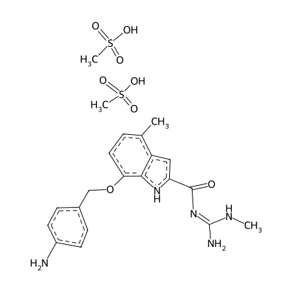 CNC(N)=NC(=O)c1cc2c(C)ccc(OCc3ccc(N)cc3)c2[nH]1.CS(=O)(=O)O.CS(=O)(=O)O